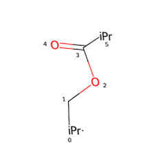 C[C](C)COC(=O)C(C)C